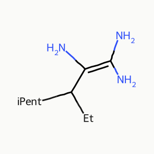 CCCC(C)C(CC)C(N)=C(N)N